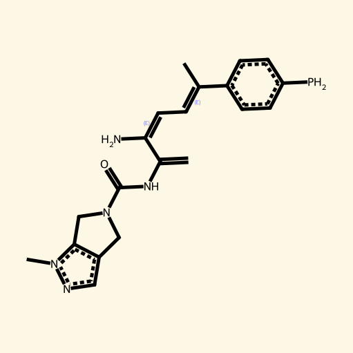 C=C(NC(=O)N1Cc2cnn(C)c2C1)/C(N)=C\C=C(/C)c1ccc(P)cc1